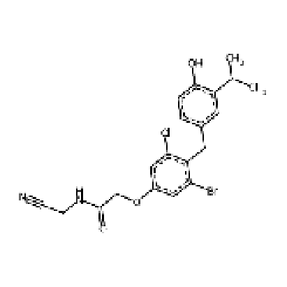 CC(C)c1cc(Cc2c(Cl)cc(OCC(=O)NCC#N)cc2Br)ccc1O